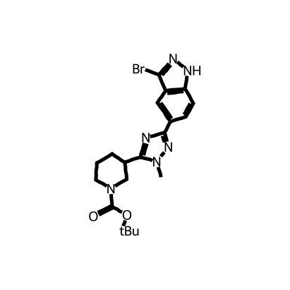 Cn1nc(-c2ccc3[nH]nc(Br)c3c2)nc1C1CCCN(C(=O)OC(C)(C)C)C1